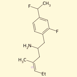 CC/C=C(/C)CC(N)Cc1ccc(C(C)F)cc1F